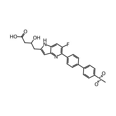 CS(=O)(=O)c1ccc(-c2ccc(-c3nc4cc(CC(O)CC(=O)O)[nH]c4cc3F)cc2)cc1